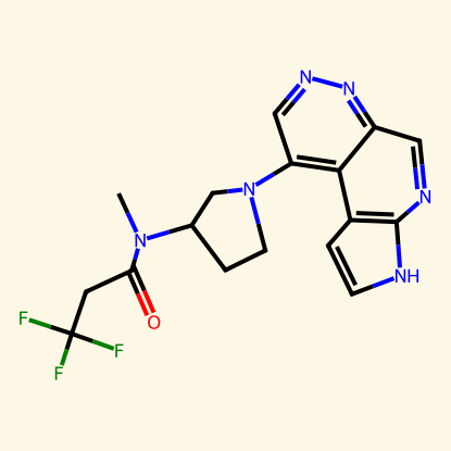 CN(C(=O)CC(F)(F)F)C1CCN(c2cnnc3cnc4[nH]ccc4c23)C1